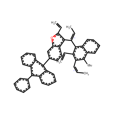 C=Cc1oc2cc(-c3c4ccccc4c(-c4ccccc4)c4ccccc34)ccc2c1/C(=C\C)c1c(C=C)c(/C=C\C)c(C(C)(C)C)c2ccccc12